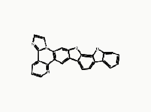 c1ccc2c(c1)oc1c2ccc2c3cc4c5ncccc5c5nccn5c4cc3oc21